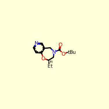 CC[C@@H]1CN(C(=O)OC(C)(C)C)Cc2cnccc2O1